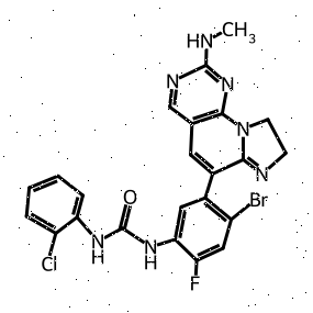 CNc1ncc2c(n1)N1CCN=C1C(c1cc(NC(=O)Nc3ccccc3Cl)c(F)cc1Br)=C2